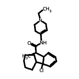 CCN1CC=C(NC(=O)C(C)C2C=CC=CC2(Cl)C2CCCCC2)CC1